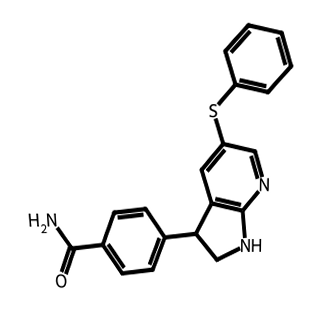 NC(=O)c1ccc(C2CNc3ncc(Sc4ccccc4)cc32)cc1